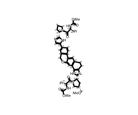 COC[C@H]1C[C@@H](c2nc3c([nH]2)-c2cc4c(cc2CC3)-c2ccc(-c3cnc([C@@H]5CCCN5C(=O)[C@@H](NC(=O)OC)C(C)C)[nH]3)cc2CO4)N(C(=O)[C@@H](NC(=O)OC)C(C)C)C1